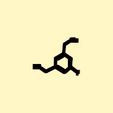 CC(C)(C)Cc1cc(F)cc(CO)c1